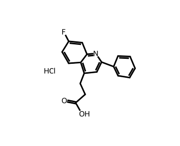 Cl.O=C(O)CCc1cc(-c2ccccc2)nc2cc(F)ccc12